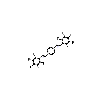 Fc1c(F)c(F)c(/C=C/c2ccc(/C=C/c3c(F)c(F)c(F)c(F)c3F)cc2)c(F)c1F